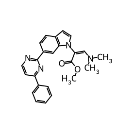 COC(=O)C(=CN(C)C)n1ccc2ccc(-c3nccc(-c4ccccc4)n3)cc21